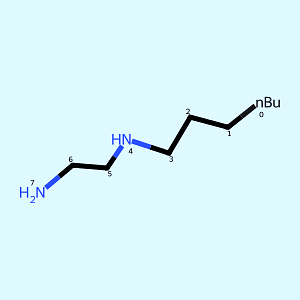 CCCCCCCNCCN